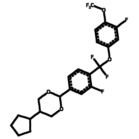 Fc1cc(OC(F)(F)c2ccc(C3OCC(C4CCCC4)CO3)cc2F)ccc1OC(F)(F)F